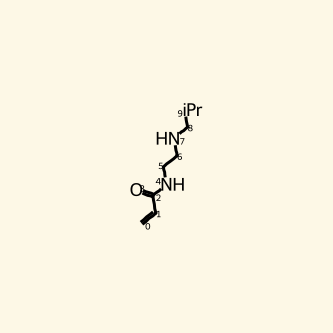 C=CC(=O)NCCNCC(C)C